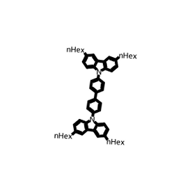 CCCCCCc1ccc2c(c1)c1cc(CCCCCC)ccc1n2-c1ccc(-c2ccc(-n3c4ccc(CCCCCC)cc4c4cc(CCCCCC)ccc43)cc2)cc1